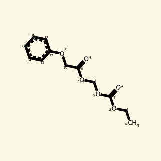 CCOC(=O)OCOC(=O)COc1cc[c]cc1